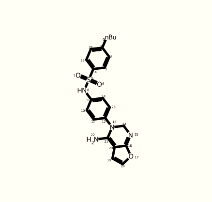 CCCCc1ccc(S(=O)(=O)Nc2ccc(N3CN=c4occc4=C3N)cc2)cc1